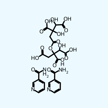 NC(=O)c1cccnc1.NC(=O)c1cccnc1.O=C(O)CC(OC(=O)CC(O)(C(=O)O)C(O)C(=O)O)(C(=O)O)C(O)C(=O)O